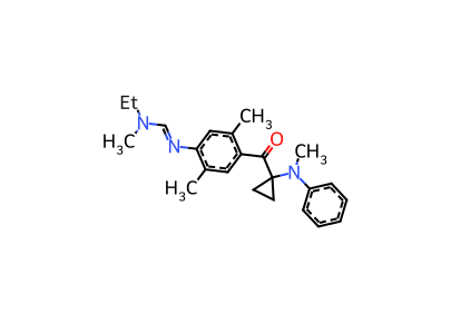 CCN(C)C=Nc1cc(C)c(C(=O)C2(N(C)c3ccccc3)CC2)cc1C